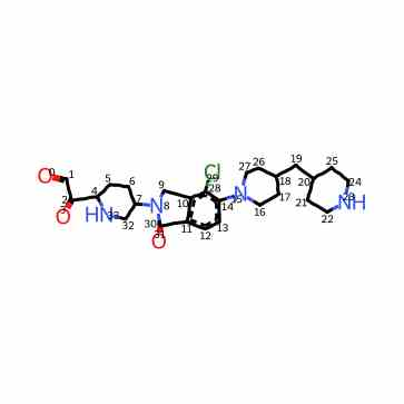 O=CC(=O)C1CCC(N2Cc3c(ccc(N4CCC(CC5CCNCC5)CC4)c3Cl)C2=O)CN1